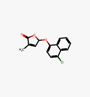 CC1=CC(Oc2ccc(Cl)c3ccccc23)OC1=O